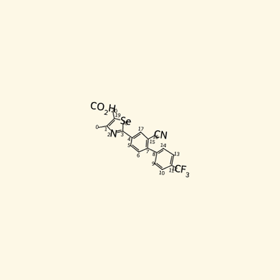 Cc1nc(-c2ccc(-c3ccc(C(F)(F)F)cc3)c(C#N)c2)[se]c1C(=O)O